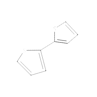 [c]1csc(-c2cccs2)c1